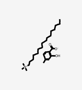 CCCCCCCCCCCCCCCC[N+](C)(C)C.Cc1ccc(C(=O)[O-])c(O)c1